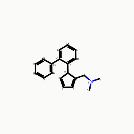 CN(C)CC1=CC=CC1c1ccccc1-c1cc[c]cc1